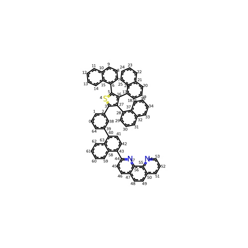 c1cc(-c2sc(-c3cccc4ccccc34)c(-c3cccc4ccccc34)c2-c2cccc3ccccc23)cc(-c2ccc(-c3ccc4ccc5cccnc5c4n3)c3ccccc23)c1